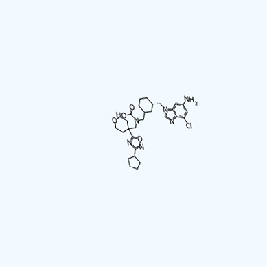 Nc1cc(Cl)c2ncn(C[C@H]3CCCC(CN(CC4(c5nc(C6CCCC6)no5)CCOCC4)C(=O)O)C3)c2c1